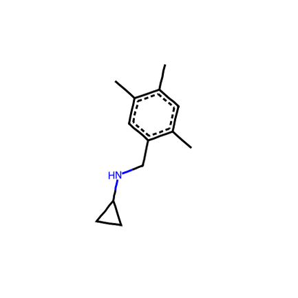 Cc1cc(C)c(CNC2CC2)cc1C